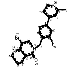 Cc1cc(-c2ccc(Cn3cc(Br)c4ncccc4c3=O)c(F)c2)ccn1